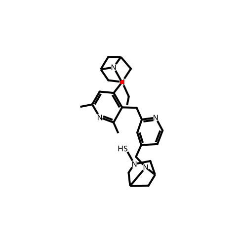 CCN1CC2CC(C1)N2Cc1cc(C)nc(C)c1Cc1cc(CN2C3CC2CN(S)C3)ccn1